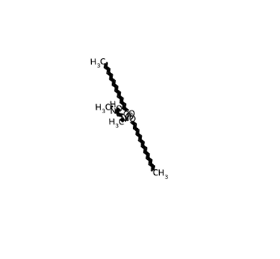 CCCCCCCCCCCCCCCCCCOP(=O)(CN(C)CCC(=O)NCC)OCCCCCCCCCCCCCCCCCC